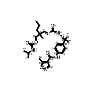 CCCC(C)(COC(N)=O)COC(=O)NC(C)C.Cc1oncc1C(=O)Nc1ccc(C(F)(F)F)cc1